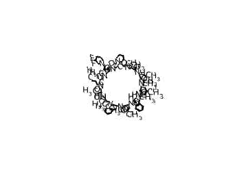 CCCCN1CC(=O)N(C)[C@@H](CCN2CCCC(F)(F)C2)C(=O)N[C@H](C(=O)N2CCCCC2)CC(=O)N(C)[C@@H](C)C(=O)N[C@@H](CC(C)C)C(=O)N(C)[C@@H](CC(C)C)C(=O)N(C)[C@@H](Cc2ccccc2)C(=O)N[C@@H](CC(C)C)C(=O)N(C)[C@@H](Cc2ccccc2)C(=O)N(C)[C@@H](C)C(=O)N[C@@H]([C@@H](C)O)C1=O